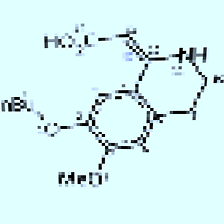 CCCCOc1cc2c(cc1OC)CCN/C2=C/C(=O)O